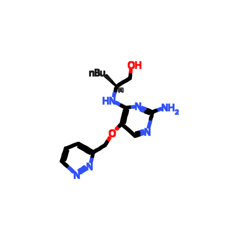 CCCC[C@@H](CO)Nc1nc(N)ncc1OCc1cccnn1